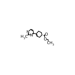 CCOC(=O)[C@@H]1CC=C(c2ccnc(C)n2)CC1